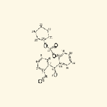 O=[C]c1ccccc1C(=O)c1ccccc1OC(=O)OC1CCCCC1